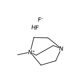 C[N+]12CCN(CC1)CC2.F.[F-]